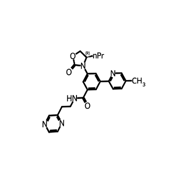 CCC[C@@H]1COC(=O)N1c1cc(C(=O)NCCc2cnccn2)cc(-c2ccc(C)cn2)c1